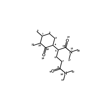 CC1CCC(C(CCC(=O)N(C)C)C(=O)N(C)C)C(=O)C1C